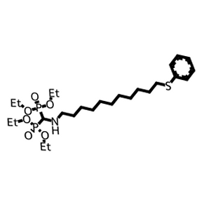 CCOP(=O)(OCC)C(NCCCCCCCCCCCSc1ccccc1)P(=O)(OCC)OCC